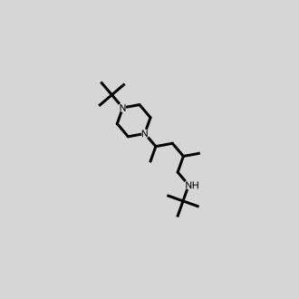 CC(CNC(C)(C)C)CC(C)N1CCN(C(C)(C)C)CC1